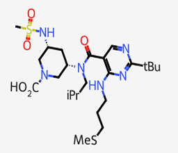 CSCCCNc1nc(C(C)(C)C)ncc1C(=O)N(CC(C)C)[C@H]1C[C@@H](NS(C)(=O)=O)CN(C(=O)O)C1